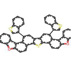 c1ccc2c(c1)oc1ccc3c4sc5c(cc(-c6csc7ccccc67)c6c5ccc5oc7ccccc7c56)c4cc(-c4csc5ccccc45)c3c12